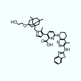 Cc1c(Nc2nc3ccccc3s2)nnc2c1CCCN2c1ccc(-c2cnn(CC34CC5(C)CC(C)(C3)CC(OCCO)(C5)C4)c2C)c(C(=O)O)n1